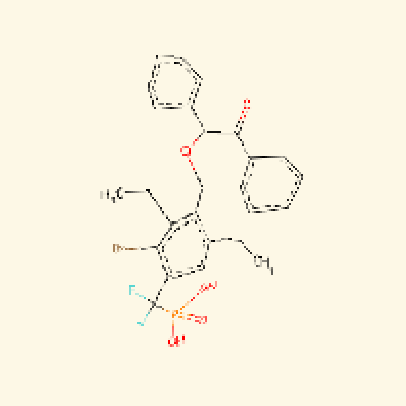 CCc1cc(C(F)(F)P(=O)(O)O)c(Br)c(CC)c1COC(C(=O)c1ccccc1)c1ccccc1